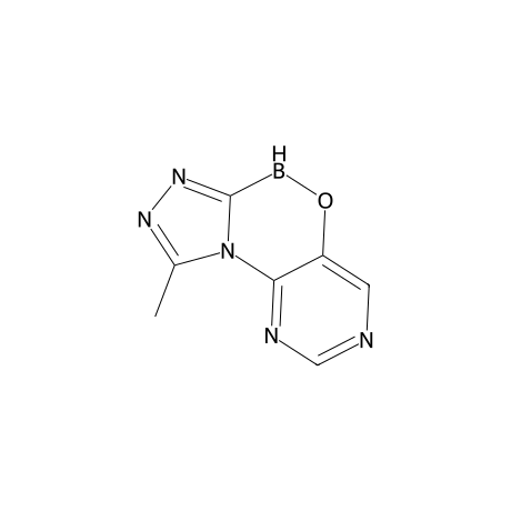 Cc1nnc2n1-c1ncncc1OB2